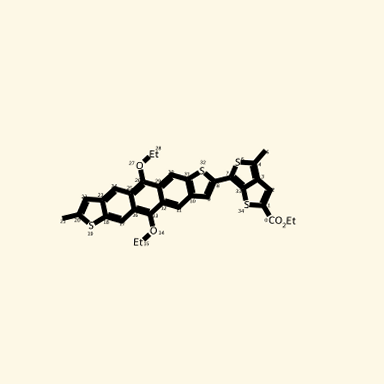 CCOC(=O)c1cc2c(C)sc(-c3cc4cc5c(OCC)c6cc7sc(C)cc7cc6c(OCC)c5cc4s3)c2s1